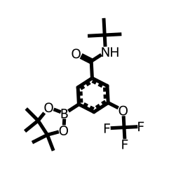 CC(C)(C)NC(=O)c1cc(OC(F)(F)F)cc(B2OC(C)(C)C(C)(C)O2)c1